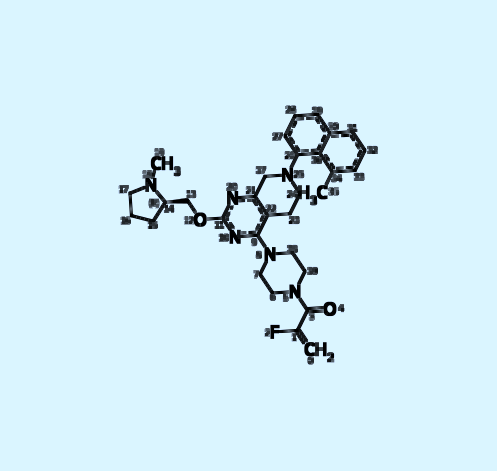 C=C(F)C(=O)N1CCN(c2nc(OC[C@H]3CCCN3C)nc3c2CCN(c2cccc4cccc(C)c24)C3)CC1